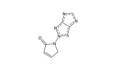 O=C1C=CCN1n1nc2ncnc-2s1